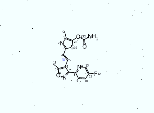 Cc1nc(/C=C/c2c(-c3ccc(F)cn3)noc2C)sc1OC(N)=O